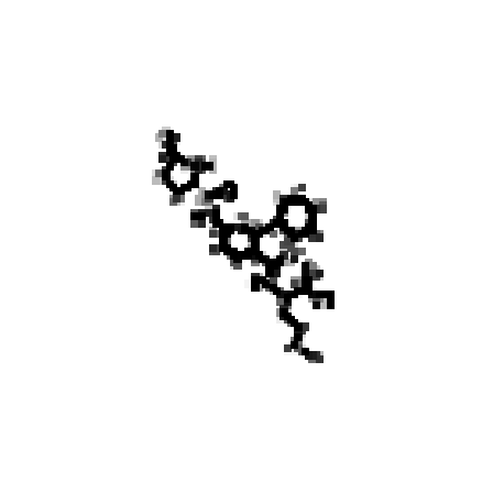 CSCCC(NC(=O)c1ccc(NC(=O)[C@@H]2CCC(=O)N2)cc1-c1ccccc1)C(=O)O